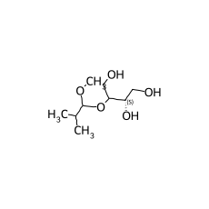 COC(OC(CO)[C@@H](O)CO)C(C)C